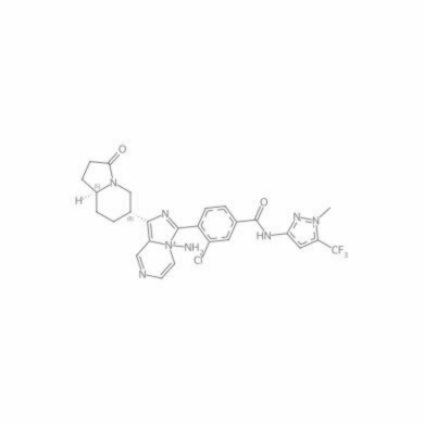 Cn1nc(NC(=O)c2ccc(C3=NC([C@@H]4CC[C@H]5CCC(=O)N5C4)=C4C=NC=C[N+]34N)c(Cl)c2)cc1C(F)(F)F